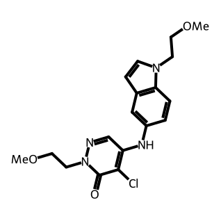 COCCn1ncc(Nc2ccc3c(ccn3CCOC)c2)c(Cl)c1=O